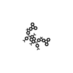 CC(C)c1ccc(N(c2ccc3c(c2)-c2cc4c5ccccc5c5ccccc5c4cc2C3(C)C)c2cc(C(C)C)c3ccc4c(N(c5ccc(C(C)C)cc5)c5ccc6c(c5)-c5cc7c8ccccc8c8ccccc8c7cc5C6(C)C)cc(C(C)C)c5ccc2c3c54)cc1